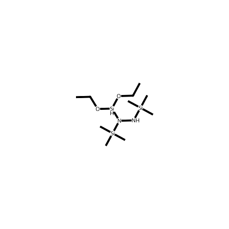 CCO[SiH](OCC)N(N[Si](C)(C)C)[Si](C)(C)C